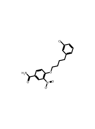 NC(=O)c1ccc(OCCCCc2cccc(Cl)c2)c([N+](=O)[O-])c1